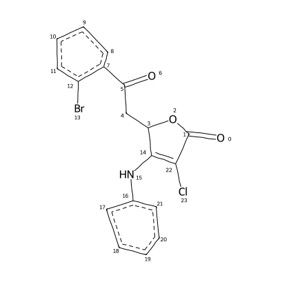 O=C1OC(CC(=O)c2ccccc2Br)C(Nc2ccccc2)=C1Cl